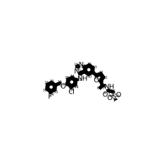 CC(NC(=O)CS(C)(=O)=O)c1ccc(-c2ccc3ncnc(Nc4ccc(OCc5cccc(F)c5)c(Cl)c4)c3c2)o1